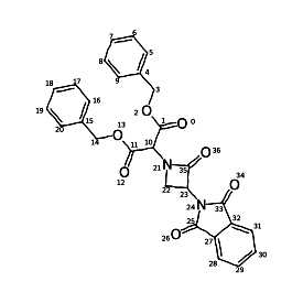 O=C(OCc1ccccc1)C(C(=O)OCc1ccccc1)N1CC(N2C(=O)c3ccccc3C2=O)C1=O